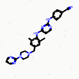 Cc1cc(CN2CCN(c3ncccn3)CC2)cc(C)c1Nc1ccnc(Nc2ccc(C#N)cc2)n1